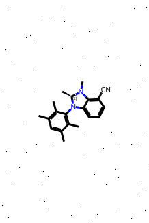 Cc1cc(C)c(C)c(N2c3cccc(C#N)c3N(C)[C@@H]2C)c1C